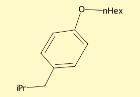 [CH2]C(C)Cc1ccc(OCCCCCC)cc1